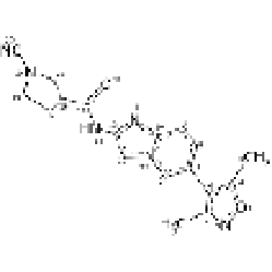 Cc1noc(C)c1-c1ccc2nc(NC(=O)C3CCN(C#N)C3)cn2c1